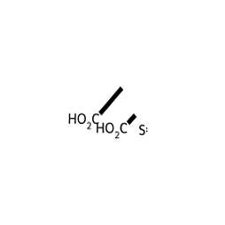 CC(=O)O.CC(=O)O.[S]